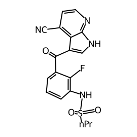 CCCS(=O)(=O)Nc1cccc(C(=O)c2c[nH]c3nccc(C#N)c23)c1F